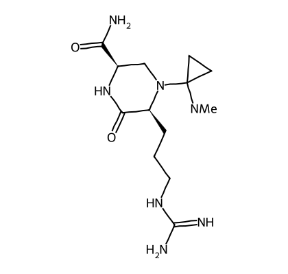 CNC1(N2C[C@H](C(N)=O)NC(=O)[C@@H]2CCCNC(=N)N)CC1